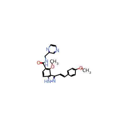 COc1ccc(/C=C/c2n[nH]c3ccc(C(=O)NCc4cnccn4)c(OC)c23)cc1